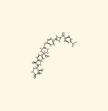 CC(C)c1cnc(NC2CN(c3ccc(CN4CCC(O)(c5ccc6c(c5)CN(C5CCC(=O)NC5=O)C6=O)CC4)cc3)C2)nc1